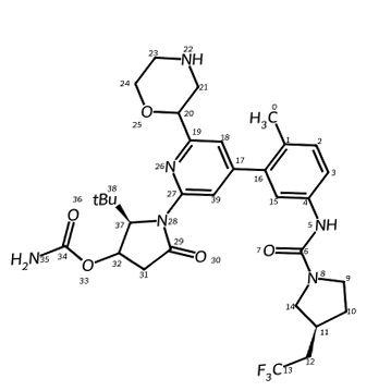 Cc1ccc(NC(=O)N2CC[C@@H](CC(F)(F)F)C2)cc1-c1cc(C2CNCCO2)nc(N2C(=O)CC(OC(N)=O)[C@H]2C(C)(C)C)c1